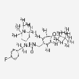 [2H]c1c([2H])c(OC([2H])([2H])C([2H])(C([2H])([2H])[2H])C([2H])([2H])[2H])c([2H])c([2H])c1CNC(=O)N(C1CC([2H])([2H])N(C([2H])([2H])[2H])C([2H])([2H])C1)C([2H])([2H])c1ccc(F)cc1